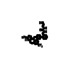 CCCC(=O)N[C@@H]1CCc2cc(C(F)(F)F)ccc2N(Cc2ccc(-c3ccccc3CNC(=O)NCCO)cc2)C1=O